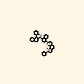 c1ccc(-c2ccc3ccc4ccc(-c5ccc(-c6nc7ccccc7c7c6ccc6ccccc67)c6ccccc56)nc4c3n2)cc1